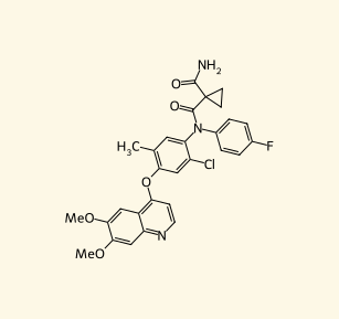 COc1cc2nccc(Oc3cc(Cl)c(N(C(=O)C4(C(N)=O)CC4)c4ccc(F)cc4)cc3C)c2cc1OC